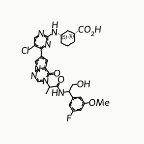 COc1cc(F)cc(C(CO)NC(=O)C(C)n2cnn3cc(-c4nc(N[C@H]5CCC[C@@H](C(=O)O)C5)ncc4Cl)cc3c2=O)c1